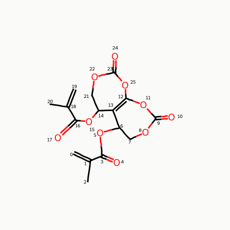 C=C(C)C(=O)OC1COC(=O)OC2=C1C(OC(=O)C(=C)C)COC(=O)O2